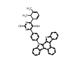 CC1=CC=CC(c2nc(Cl)nc(-c3ccc(-n4c5ccccc5c5c6ccccc6c6c7ccccc7sc6c54)cc3)c2S)C1C